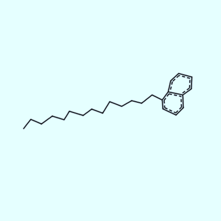 CCCCCCCCCCCCCCc1cccc2ccccc12